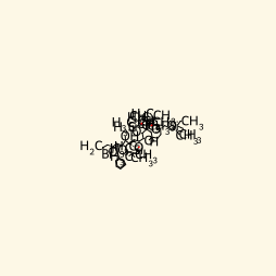 C=C(Br)C[C@@H](CCC(O)/C=C/[C@H](O[Si](C)(C)C(C)(C)C)C1O[C@H]2CC[C@H](CCO[Si](CC)(CC)CC)O[C@@H]2[C@H](O[Si](C)(C)C(C)(C)C)[C@@H]1O[Si](C)(C)C(C)(C)C)OC(=O)c1ccccc1